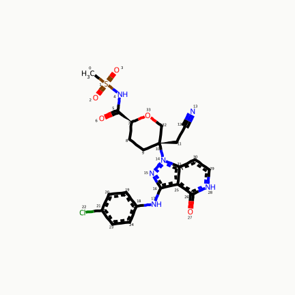 CS(=O)(=O)NC(=O)[C@@H]1CC[C@@](CC#N)(n2nc(Nc3ccc(Cl)cc3)c3c(=O)[nH]ccc32)CO1